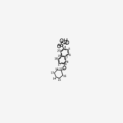 O=S(=O)(O)c1ccc2cc(OC3CCCCC3)ccc2c1